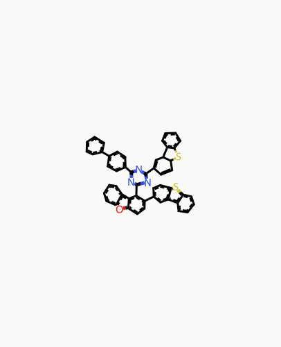 C1=CC2Sc3ccccc3C2C=C1c1nc(-c2ccc(-c3ccccc3)cc2)nc(-c2c(-c3ccc4sc5ccccc5c4c3)ccc3oc4ccccc4c23)n1